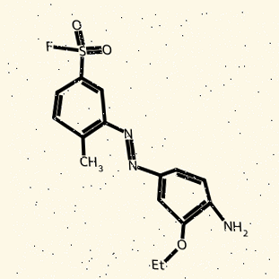 CCOc1cc(N=Nc2cc(S(=O)(=O)F)ccc2C)ccc1N